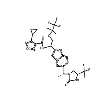 C[C@H](c1ccc2[nH]c([C@H](COC(C)(C)C(F)(F)F)NC(=O)c3nonc3C3CC3)nc2c1)N1C[C@@H](C(F)(F)F)NC1=O